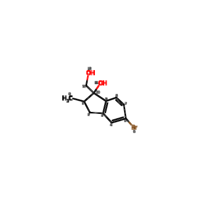 CC1Cc2cc(Br)ccc2C1(O)CO